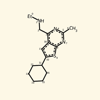 CCNCc1nc(C)nc2sc(C3CCCCC3)cc12